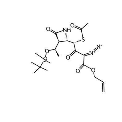 C=CCOC(=O)C(=[N+]=[N-])C(=O)[C@@H](SC(C)=O)[C@H]1NC(=O)[C@@H]1[C@@H](C)O[Si](C)(C)C(C)(C)C